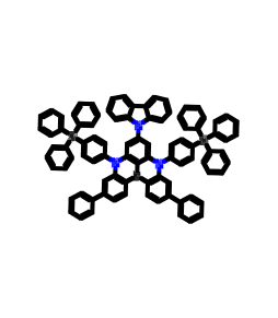 c1ccc(-c2ccc3c(c2)N(c2ccc([Si](c4ccccc4)(c4ccccc4)c4ccccc4)cc2)c2cc(-n4c5ccccc5c5ccccc54)cc4c2B3c2ccc(-c3ccccc3)cc2N4c2ccc([Si](c3ccccc3)(c3ccccc3)c3ccccc3)cc2)cc1